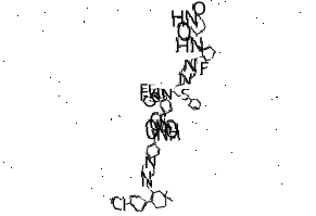 CC1(C)CCC(c2ccc(Cl)cc2)=C(CN2CCN(c3ccc(C(=O)NS(=O)(=O)c4ccc(N[C@H](CCN5CCN(Cc6c(F)cccc6NC6CCC(=O)NC6=O)CC5)CSc5ccccc5)c(S(=O)(=O)C(F)(F)F)c4)cc3)CC2)C1